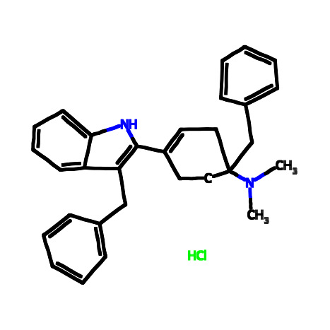 CN(C)C1(Cc2ccccc2)CC=C(c2[nH]c3ccccc3c2Cc2ccccc2)CC1.Cl